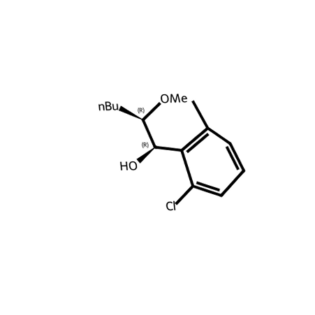 CCCC[C@@H](OC)[C@H](O)c1c(C)cccc1Cl